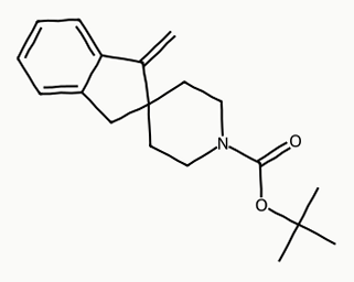 C=C1c2ccccc2CC12CCN(C(=O)OC(C)(C)C)CC2